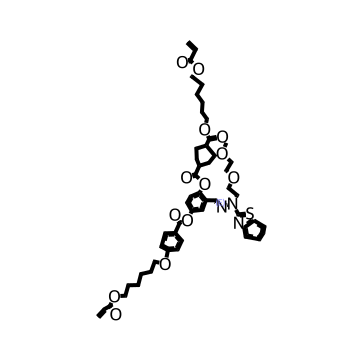 C=CC(=O)OCCCCCCOC(=O)C1CCC(C(=O)Oc2ccc(OC(=O)c3ccc(OCCCCCCOC(=O)C=C)cc3)cc2/C=N/N(CCOCCOC)c2nc3ccccc3s2)CC1